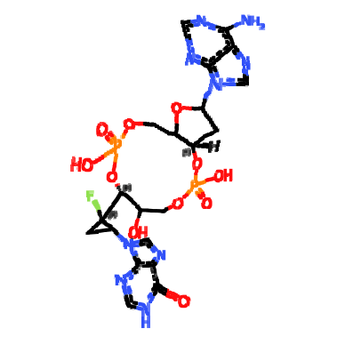 Nc1ncnc2c1ncn2C1C[C@@H]2OP(=O)(O)OCC(O)[C@H]([C@@]3(F)CC3n3cnc4c(=O)[nH]cnc43)OP(=O)(O)OCC2O1